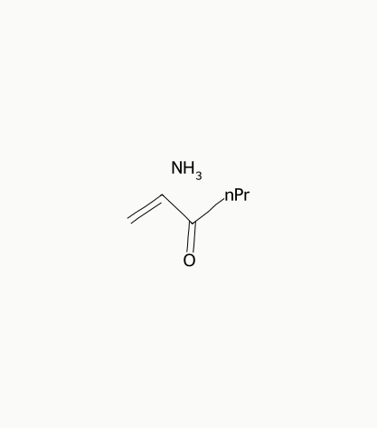 C=CC(=O)CCC.N